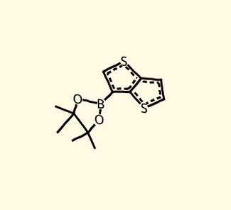 CC1(C)OB(c2csc3ccsc23)OC1(C)C